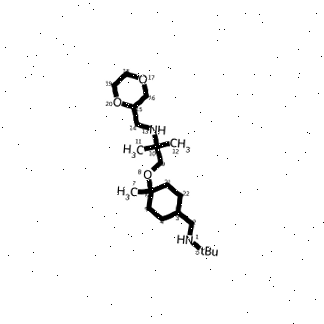 CC(C)(C)NCC1CCC(C)(OCC(C)(C)NCC2COCCO2)CC1